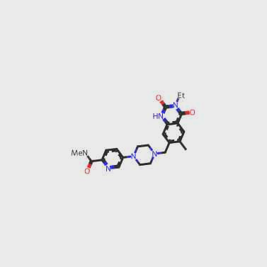 CCn1c(=O)[nH]c2cc(CN3CCN(c4ccc(C(=O)NC)nc4)CC3)c(C)cc2c1=O